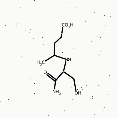 CC(CCC(=O)O)NC(CO)C(N)=O